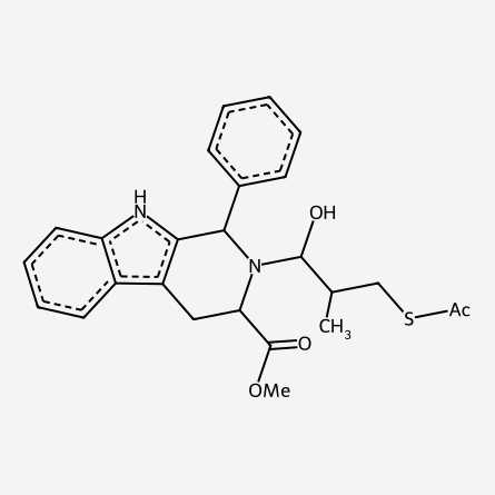 COC(=O)C1Cc2c([nH]c3ccccc23)C(c2ccccc2)N1C(O)C(C)CSC(C)=O